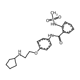 CS(=O)(=O)Nc1ccccc1C(=O)Nc1ccc(OCCNC2CCCC2)cc1